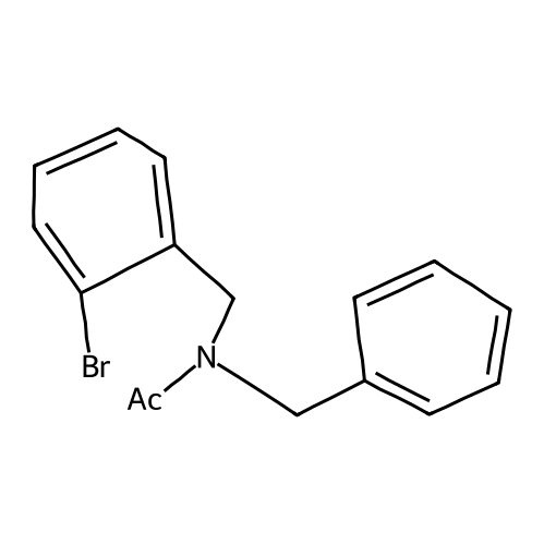 CC(=O)N(Cc1ccccc1)Cc1ccccc1Br